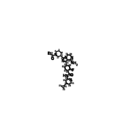 CCC(=O)N1CCCC(c2nc(-c3ccc(C(=O)Nc4cc(C5CC5)ccn4)c(F)c3)c3c(N)nccn23)C1